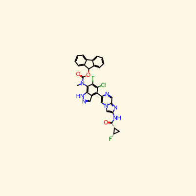 CN(C(=O)OC1c2ccccc2-c2ccccc21)c1c(F)c(Cl)c(-c2cn3cc(NC(=O)[C@@H]4C[C@@H]4F)nc3cn2)c2cn[nH]c12